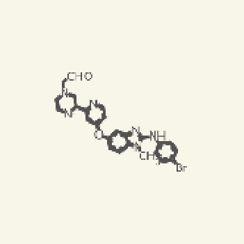 Cn1c(Nc2ccc(Br)cc2)nc2cc(Oc3ccnc(C4CN(CC=O)CC[N]4)c3)ccc21